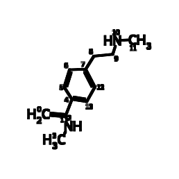 C=C(NC)c1ccc(CCNC)cc1